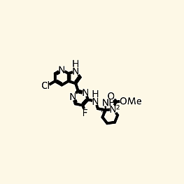 COC(=O)N1CCCC[C@]1(N)CNc1nc(-c2c[nH]c3ncc(Cl)cc23)ncc1F